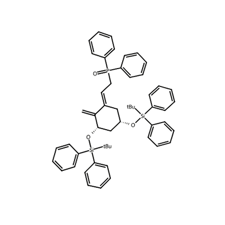 C=C1C(=CCP(=O)(c2ccccc2)c2ccccc2)C[C@H](O[Si](c2ccccc2)(c2ccccc2)C(C)(C)C)C[C@@H]1O[Si](c1ccccc1)(c1ccccc1)C(C)(C)C